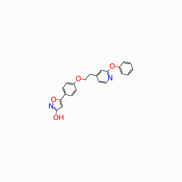 Oc1cc(-c2ccc(OCCc3ccnc(Oc4ccccc4)c3)cc2)on1